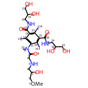 COCC(O)CNCC(=O)N(C)c1c(I)c(C(=O)NCC(O)CO)c(I)c(C(=O)NCC(O)CO)c1I